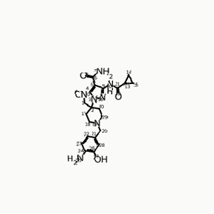 N#CCC1(n2cc(C(N)=O)c(NC(=O)C3CC3)n2)CCN(Cc2ccc(N)c(O)c2)CC1